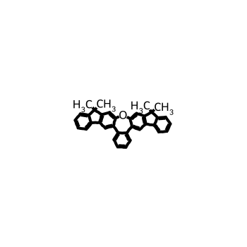 CC1(C)c2ccccc2-c2cc3c(cc21)Oc1cc2c(cc1-c1ccccc1-3)-c1ccccc1C2(C)C